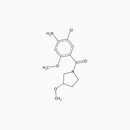 COc1cc(N)c(Cl)cc1C(=O)N1CCC(OC)C1